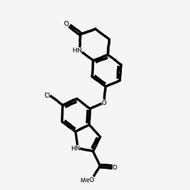 COC(=O)c1cc2c(Oc3ccc4c(c3)NC(=O)CC4)cc(Cl)cc2[nH]1